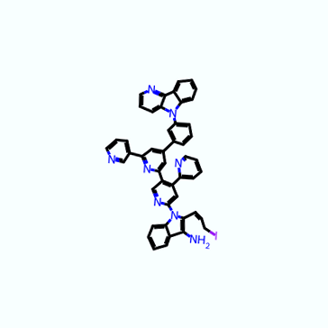 Nc1c(/C=C\CI)n(-c2cc(-c3ccccn3)c(-c3cc(-c4cccc(-n5c6ccccc6c6ncccc65)c4)cc(-c4cccnc4)n3)cn2)c2ccccc12